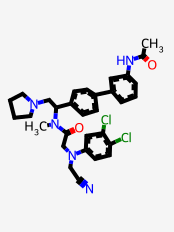 CC(=O)Nc1cccc(-c2ccc(C(CN3CCCC3)N(C)C(=O)CN(CC#N)c3ccc(Cl)c(Cl)c3)cc2)c1